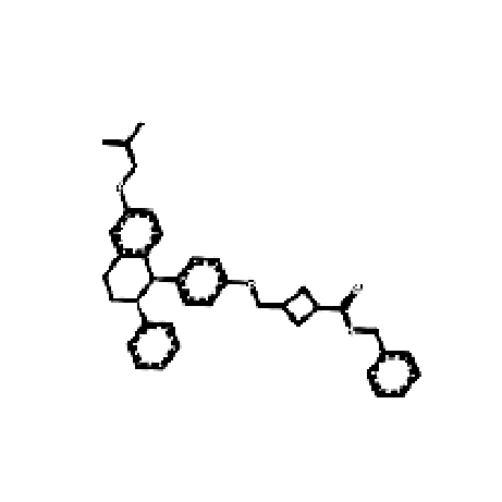 CC(C)COc1ccc2c(c1)CC[C@H](c1ccccc1)[C@@H]2c1ccc(OCC2CC(C(=O)OCc3ccccc3)C2)cc1